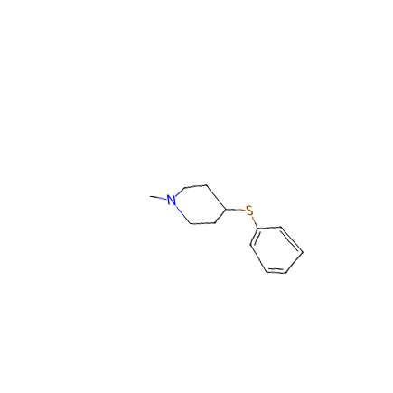 CN1CCC(Sc2ccccc2)CC1